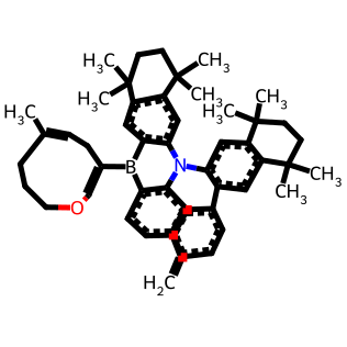 C=Cc1ccc2c(c1)N(c1cc3c(cc1-c1ccccc1)C(C)(C)CCC3(C)C)c1cc3c(cc1B2/C1=C/OCCC/C(C)=C\C1)C(C)(C)CCC3(C)C